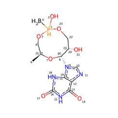 B[PH]1(O)OC[C@H](C)O[C@@H](n2cnc3c(=O)[nH]c(=O)[nH]c32)[C@@H](O)CO1